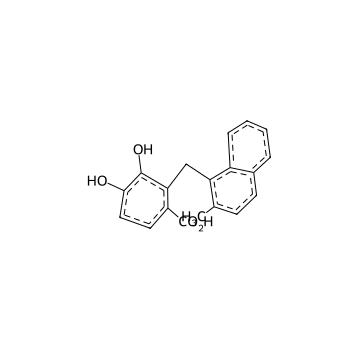 Cc1ccc2ccccc2c1Cc1c(C(=O)O)ccc(O)c1O